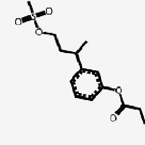 CCC(=O)Oc1cccc(C(C)CCOS(C)(=O)=O)c1